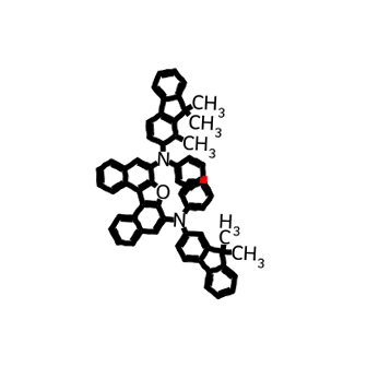 CC1C2=C(C=CC1N(c1ccccc1)c1cc3ccccc3c3c1oc1c(N(c4ccccc4)c4ccc5c(c4)C(C)(C)c4ccccc4-5)cc4ccccc4c13)c1ccccc1C2(C)C